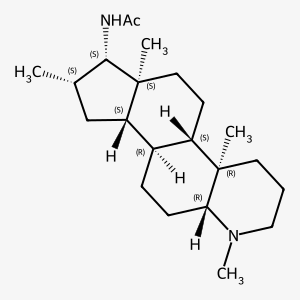 CC(=O)N[C@H]1[C@@H](C)C[C@H]2[C@@H]3CC[C@H]4N(C)CCC[C@]4(C)[C@H]3CC[C@@]21C